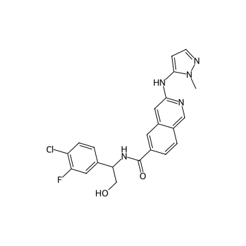 Cn1nccc1Nc1cc2cc(C(=O)NC(CO)c3ccc(Cl)c(F)c3)ccc2cn1